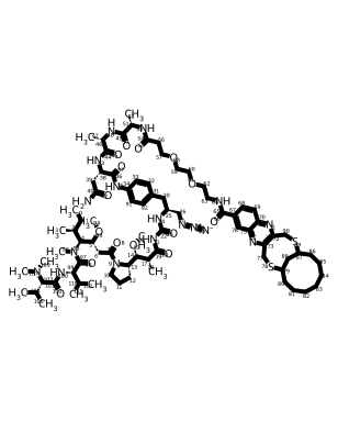 CC[C@H](C)[C@@H]([C@@H](CC(=O)N1CCC[C@H]1[C@H](OC)[C@@H](C)C(=O)NC(=O)N[C@H](CN=[N+]=[N-])Cc1ccc(NC(=O)[C@H](CC(N)=O)NC(=O)[C@H](C)NC(=O)[C@H](C)NC(=O)CCOCCOCCNC(=O)c2ccc3nc4c(nc3c2)CSC2CCCCCCCC(C2)SC4)cc1)OC)N(C)C(=O)[C@@H](NC(=O)[C@H](C(C)C)N(C)C)C(C)C